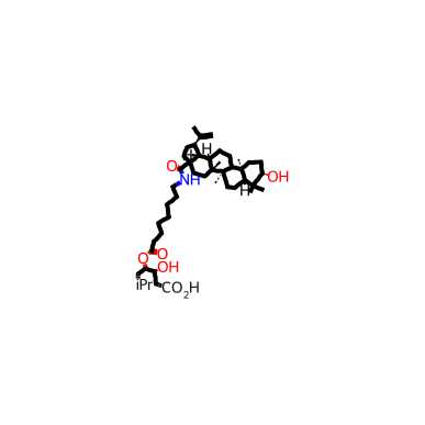 C=C(C)[C@@H]1CCC2(C(=O)NCCCCCCCC(=O)OC(CC(C)C)[C@@H](O)CC(=O)O)CC[C@]3(C)[C@H](CCC4[C@@]5(C)CC[C@H](O)C(C)(C)[C@@H]5CC[C@]43C)[C@@H]12